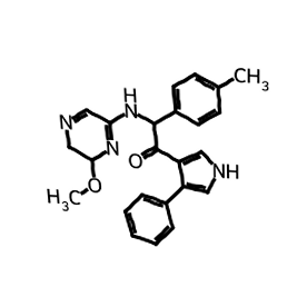 COC1CN=CC(NC(C(=O)c2c[nH]cc2-c2ccccc2)c2ccc(C)cc2)=N1